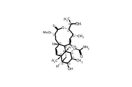 CO[C@H]1C[C@H]2C=C[C@]3(C)[C@H]4[C@H](OC(N)=O)[C@@H](C)[C@@H](O)[C@@H]3C[C@@]24/C(C)=C/[C@@H](C)[C@@H]([C@@H](C)O)OC1=O